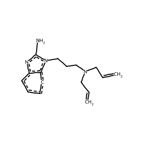 C=CCN(CC=C)CCCn1c(N)nc2ccccc21